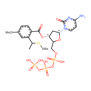 COc1ccc(C(=O)O[C@@H]2C[C@H](n3ccc(N)nc3=O)OC2COP(=O)(O)OP(=O)(O)OP(=O)(O)O)c(C(C)SSC)c1